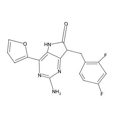 Nc1nc(-c2ccco2)c2c(n1)C(Cc1ccc(F)cc1F)C(=O)N2